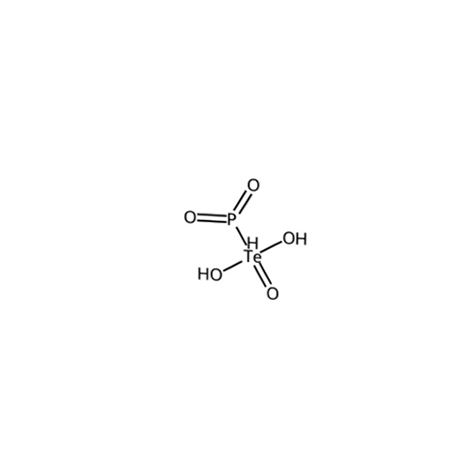 O=P(=O)[TeH](=O)(O)O